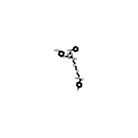 O=C(NCCOCCOCCNc1nc(Nc2ccccc2)nc(Nc2ccc(O)cc2)n1)c1ccc(F)cc1